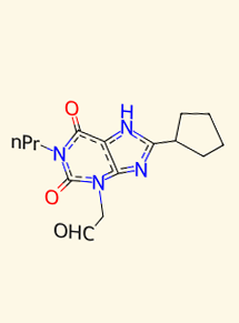 CCCn1c(=O)c2[nH]c(C3CCCC3)nc2n(CC=O)c1=O